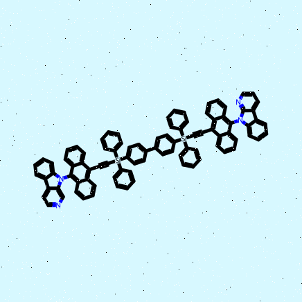 C(#C[Si](c1ccccc1)(c1ccccc1)c1ccc(-c2ccc([Si](C#Cc3c4ccccc4c(-n4c5ccccc5c5cccnc54)c4ccccc34)(c3ccccc3)c3ccccc3)cc2)cc1)c1c2ccccc2c(-n2c3ccccc3c3ccncc32)c2ccccc12